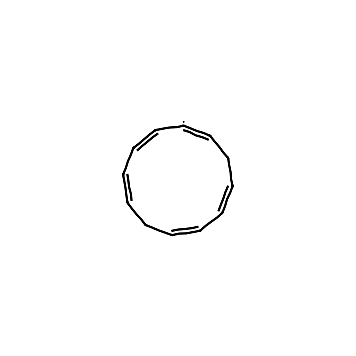 [C]1=CCC=CC=CCC=CC=C1